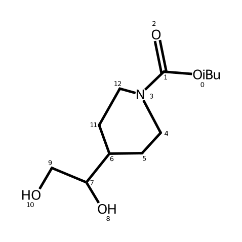 CC(C)COC(=O)N1CCC(C(O)CO)CC1